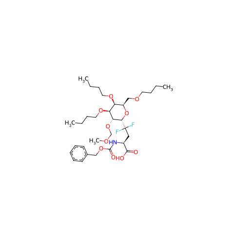 CCCCOC[C@H]1O[C@H](C(F)(F)C[C@H](NC(=O)OCc2ccccc2)C(=O)O)[C@H](OCOC)[C@@H](OCCCC)[C@H]1OCCCC